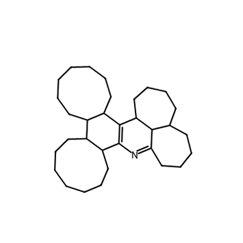 C1CCCC2C3=C(C4CCCCCCCC4C2CCC1)C1CCCCC2CCCCC(=N3)C21